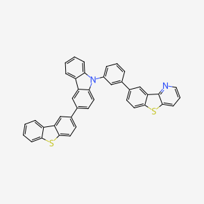 c1cc(-c2ccc3sc4cccnc4c3c2)cc(-n2c3ccccc3c3cc(-c4ccc5sc6ccccc6c5c4)ccc32)c1